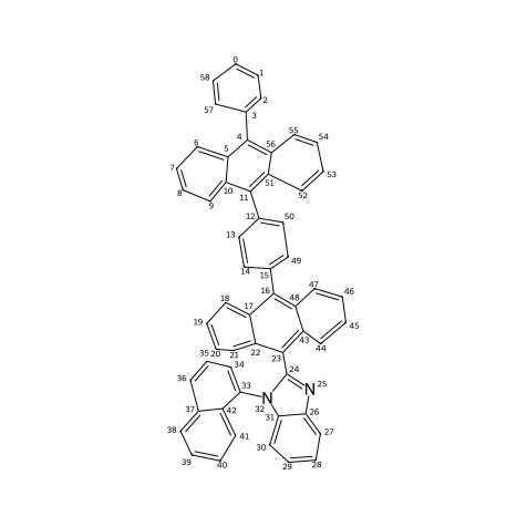 c1ccc(-c2c3ccccc3c(-c3ccc(-c4c5ccccc5c(-c5nc6ccccc6n5-c5cccc6ccccc56)c5ccccc45)cc3)c3ccccc23)cc1